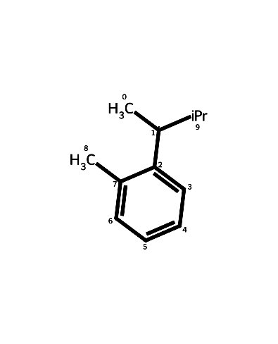 C[C](c1ccccc1C)C(C)C